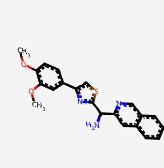 COc1ccc(-c2csc(C(N)c3cc4ccccc4cn3)n2)cc1OC